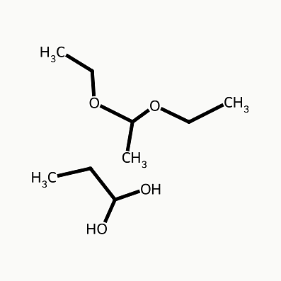 CCC(O)O.CCOC(C)OCC